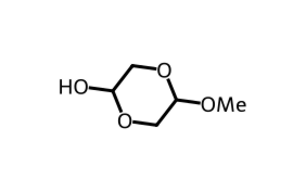 COC1COC(O)CO1